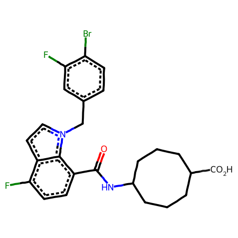 O=C(NC1CCCC(C(=O)O)CCC1)c1ccc(F)c2ccn(Cc3ccc(Br)c(F)c3)c12